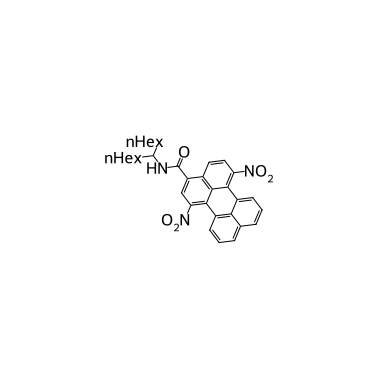 CCCCCCC(CCCCCC)NC(=O)c1cc([N+](=O)[O-])c2c3cccc4cccc(c5c([N+](=O)[O-])ccc1c52)c43